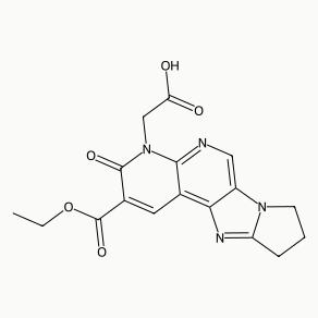 CCOC(=O)c1cc2c3nc4n(c3cnc2n(CC(=O)O)c1=O)CCC4